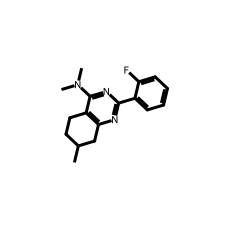 CC1CCc2c(nc(-c3ccccc3F)nc2N(C)C)C1